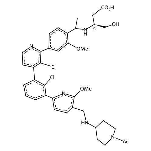 COc1cc(-c2nccc(-c3cccc(-c4ccc(CNC5CCN(C(C)=O)CC5)c(OC)n4)c3Cl)c2Cl)ccc1C(C)N[C@H](CO)CC(=O)O